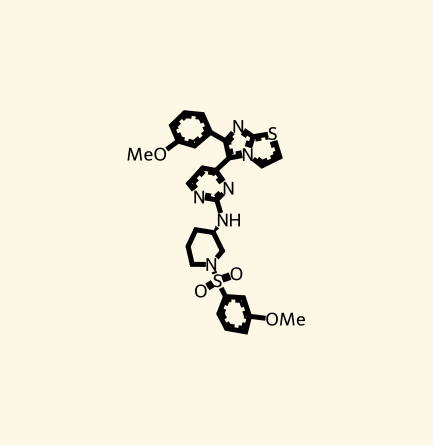 COc1cccc(-c2nc3sccn3c2-c2ccnc(N[C@@H]3CCCN(S(=O)(=O)c4cccc(OC)c4)C3)n2)c1